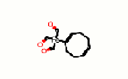 O=[CH][Fe]([CH]=O)([CH]=O)[C]1=CCCC=CCC1